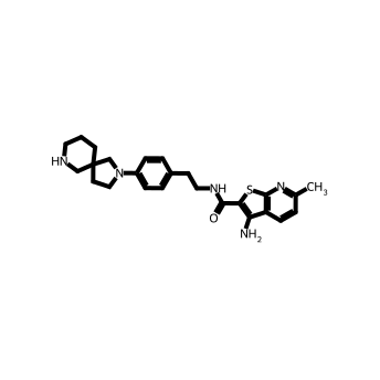 Cc1ccc2c(N)c(C(=O)NCCc3ccc(N4CCC5(CCCNC5)C4)cc3)sc2n1